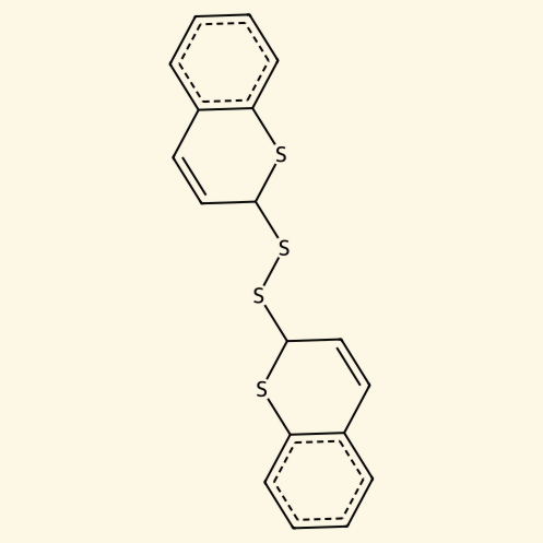 C1=CC(SSC2C=Cc3ccccc3S2)Sc2ccccc21